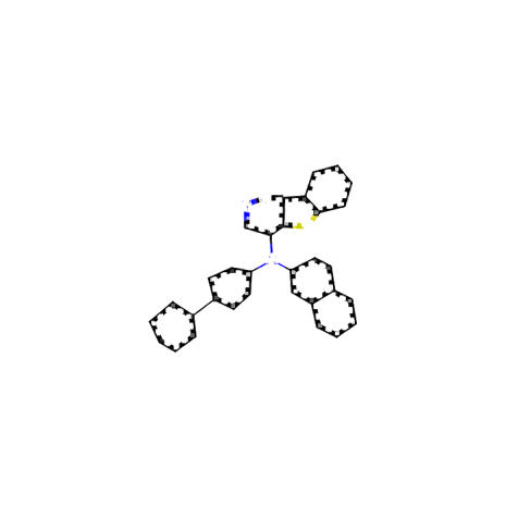 c1ccc(-c2ccc(N(c3ccc4ccccc4c3)c3cncc4c3sc3ccccc34)cc2)cc1